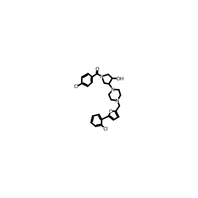 O=C(c1ccc(Cl)cc1)N1CC(O)C(N2CCN(Cc3ccc(-c4ccccc4Cl)o3)CC2)C1